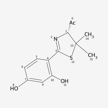 CC(=O)[C@H]1N=C(c2ccc(O)cc2O)SC1(C)C